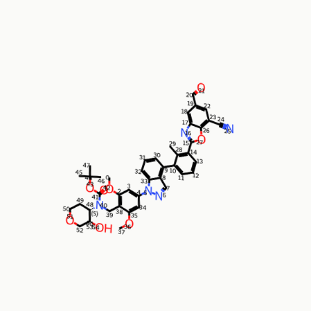 COc1cc(-n2ncc3c(-c4cccc(-c5nc6cc(C=O)cc(C#N)c6o5)c4C)cccc32)cc(OC)c1CN(C(=O)OC(C)(C)C)[C@H]1CCOC[C@@H]1O